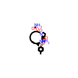 Cc1ccc([S@@+]([O-])C23CC2C=CCCCCCC(OC(N)=O)C(=O)N2CCCC2(C(N)=O)C(=O)N3)cc1